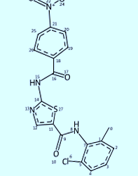 Cc1cccc(Cl)c1NC(=O)c1cnc(NC(=O)c2ccc([N+](=O)[O-])cc2)s1